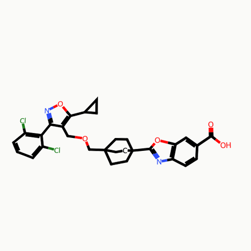 O=C(O)c1ccc2nc(C34CCC(COCc5c(-c6c(Cl)cccc6Cl)noc5C5CC5)(CC3)CC4)oc2c1